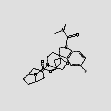 CN(C)C(=O)N1CC2(CCN(C3CC4CCC(C3)N4C(=O)O[C@H]3CCOC3)CC2)c2cc(F)ccc21